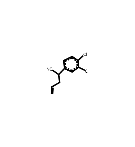 C=CCC(C#N)c1ccc(Cl)c(Cl)c1